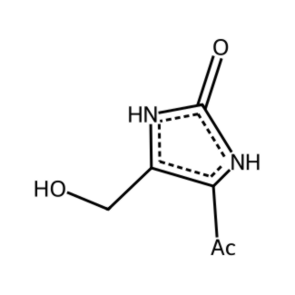 CC(=O)c1[nH]c(=O)[nH]c1CO